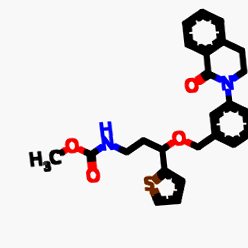 COC(=O)NCCC(OCc1cccc(N2CCc3ccccc3C2=O)c1)c1cccs1